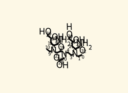 CCN(CCN(CCN(CC)C(CC(O)CO)C(N)=O)CC(=O)O)C(CC(O)CO)C(N)=O